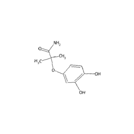 CC(C)(Oc1ccc(O)c(O)c1)C(N)=O